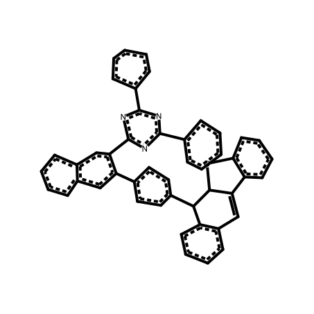 C1=C2c3ccccc3OC2C(c2ccc(-c3cc4ccccc4cc3-c3nc(-c4ccccc4)nc(-c4ccccc4)n3)cc2)c2ccccc21